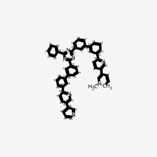 C=N/C=C(\C=C/C)c1ccc(-c2cccc(-c3cccc(-c4nc(-c5ccccc5)nc(-c5cccc(-c6cccc(-c7ccc(-c8cccnc8)cn7)c6)c5)n4)c3)c2)nc1